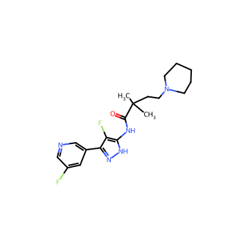 CC(C)(CCN1CCCCC1)C(=O)Nc1[nH]nc(-c2cncc(F)c2)c1F